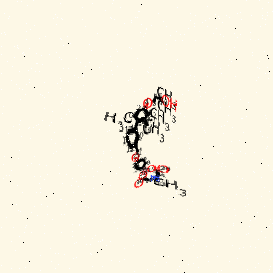 Cc1cc(OCCC(C)(C)O)c(C)c(C)c1-c1cccc(COc2ccc(B3OC(=O)CN(C)CC(=O)O3)cc2)c1